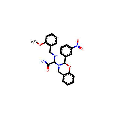 COc1ccccc1CNC(C(N)=O)N1Cc2ccccc2OC1c1cccc([N+](=O)[O-])c1